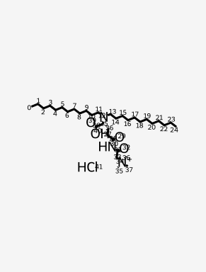 CCCCCCCCCCCCN(CCCCCCCCCCCC)[C@H](CCC(=O)NC(=O)C[N+](C)(C)C)C(=O)O.Cl